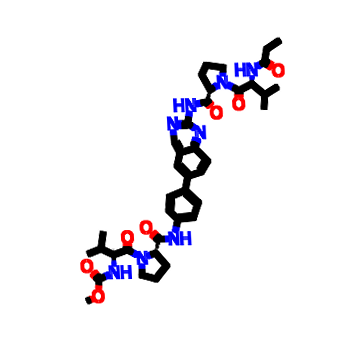 CCC(=O)N[C@H](C(=O)N1CCC[C@H]1C(=O)Nc1ncc2cc(-c3ccc(NC(=O)[C@@H]4CCCN4C(=O)[C@@H](NC(=O)OC)C(C)C)cc3)ccc2n1)C(C)C